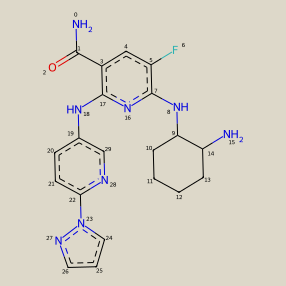 NC(=O)c1cc(F)c(NC2CCCCC2N)nc1Nc1ccc(-n2cccn2)nc1